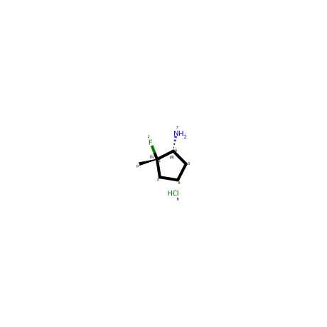 C[C@]1(F)CCC[C@H]1N.Cl